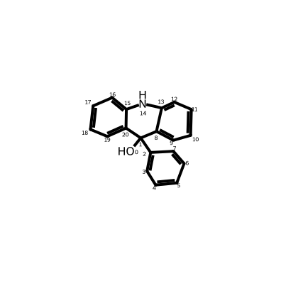 OC1(c2ccccc2)c2ccccc2Nc2ccccc21